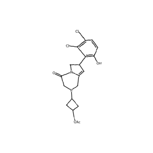 CC(=O)OC1CC(N2CC(=O)N3CC(c4c(O)ccc(Cl)c4Cl)C=C3C2)C1